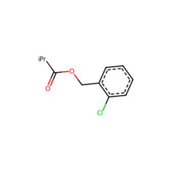 CC(C)C(=O)OCc1ccccc1Cl